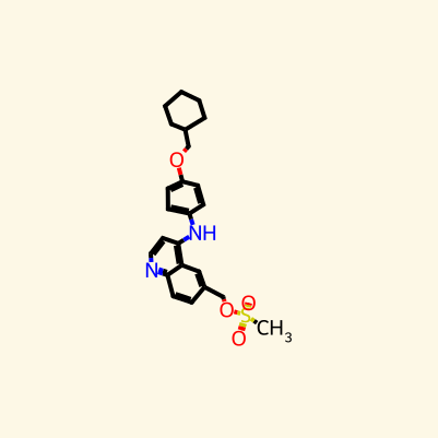 CS(=O)(=O)OCc1ccc2nccc(Nc3ccc(OCC4CCCCC4)cc3)c2c1